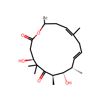 CC(=O)C1CC=C(C)C/C=C/[C@H](C)[C@H](O)[C@@H](C)C(=O)C(C)(C)[C@@H](O)CC(=O)O1